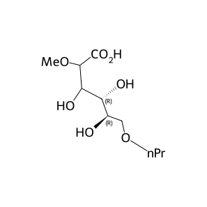 CCCOC[C@@H](O)[C@@H](O)C(O)C(OC)C(=O)O